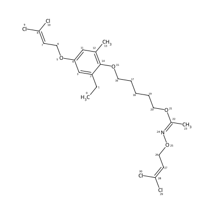 CCc1cc(OCC=C(Cl)Cl)cc(C)c1OCCCCCOC(C)=NOCC=C(Cl)Cl